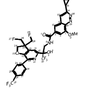 COc1cc(C(=O)NC[C@](O)(c2cc3c(c(-c4ccc(C(F)(F)F)cc4)n2)OCC3(CF)CF)C(F)(F)F)cc2cc(C3CC3)nnc12